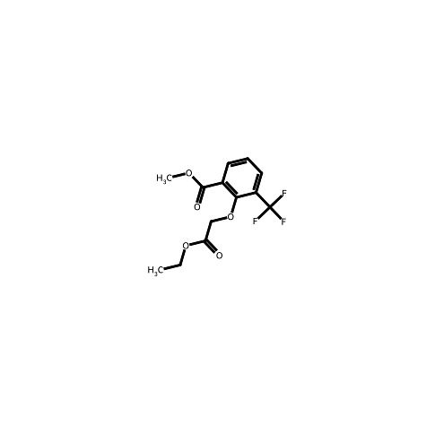 CCOC(=O)COc1c(C(=O)OC)cccc1C(F)(F)F